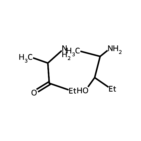 CCC(=O)C(C)N.CCC(O)C(C)N